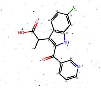 CC(C(=O)O)c1c(C(=O)c2cccnc2)[nH]c2cc(Cl)ccc12